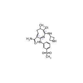 CC/C1=C(NC2CNC2)/N=C(Nc2cccc(S(C)(=O)=O)c2)\C(C(N)=O)=C\CC1C